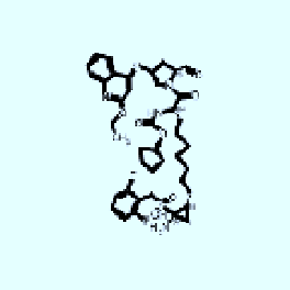 CCOc1cc(OC2C[C@@H](C=O)N(C(=O)[C@H](CCCCCCC[C@@H]3C[C@]3(N)P(=O)(O)Cc3c(F)cccc3F)NC(=O)OC3CCCC3)C2)c2ccccc2n1